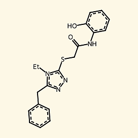 CCn1c(Cc2ccccc2)nnc1SCC(=O)Nc1ccccc1O